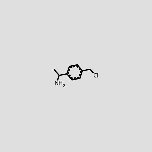 CC(N)c1ccc(CCl)cc1